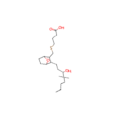 CCCCC(C)(C)C(O)CCC1C2CCC(O2)C1CSCCCC(=O)O